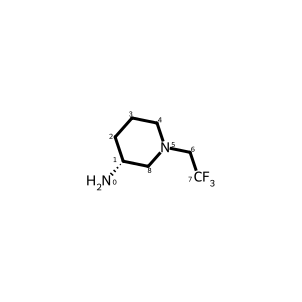 N[C@@H]1CCCN(CC(F)(F)F)C1